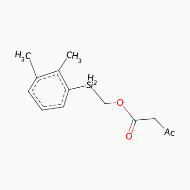 CC(=O)CC(=O)OC[SiH2]c1cccc(C)c1C